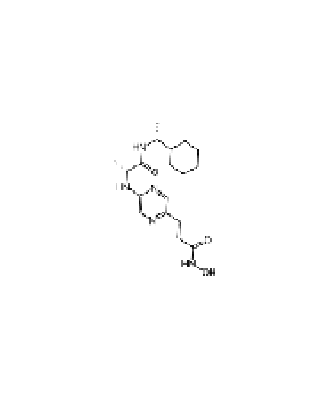 C[C@@H](Nc1cnc(/C=C/C(=O)NO)cn1)C(=O)N[C@H](C)C1CCCCC1